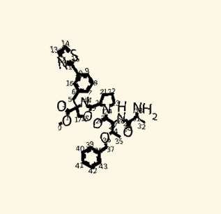 COC(=O)[C@@]1(Cc2cccc(-c3nccs3)c2)COC(C2CCCN2C(=O)[C@@H](NC(=O)[C@H](C)N)C(C)OCc2ccccc2)=N1